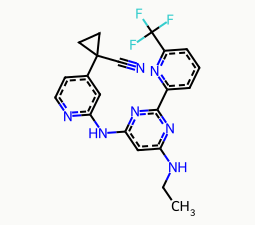 CCNc1cc(Nc2cc(C3(C#N)CC3)ccn2)nc(-c2cccc(C(F)(F)F)n2)n1